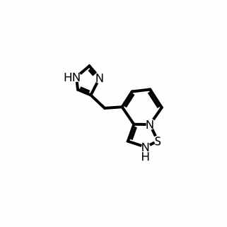 C1=CN2SNC=C2C(Cc2c[nH]cn2)=C1